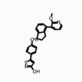 COc1ncccc1-c1cccc2c1CC[C@H]2Oc1ccc(-c2cc(O)ns2)cc1